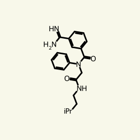 CC(C)CCNC(=O)CN(C(=O)c1cccc(C(=N)N)c1)c1ccccc1